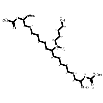 CCCCCCCCC(=O)OC(CCCCCC)CSCCCCCC(CCCCCSCC(CCCCCC)OC(=O)CCCCCCCC)N(CC)CCCCO